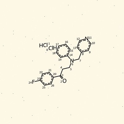 Cl.Cl.O=C(CCN(Cc1ccncc1)c1ccccc1)c1ccc(F)cc1